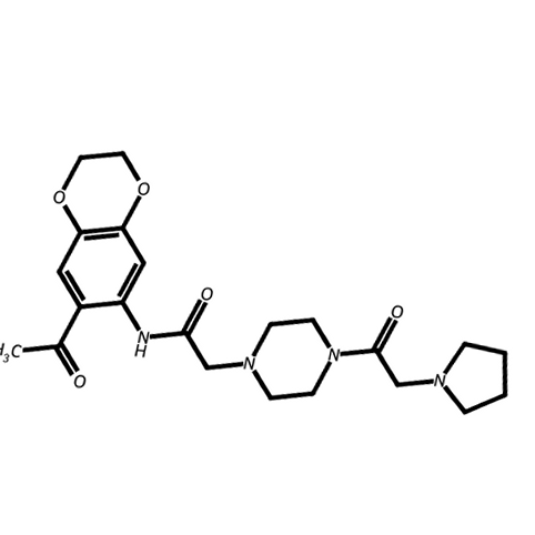 CC(=O)c1cc2c(cc1NC(=O)CN1CCN(C(=O)CN3CCCC3)CC1)OCCO2